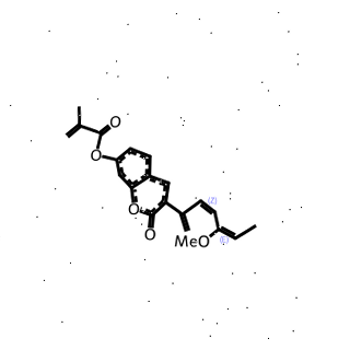 C=C(C)C(=O)Oc1ccc2cc(C(=C)/C=C\C(=C/C)OC)c(=O)oc2c1